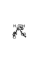 CC(O)Cc1ccccc1C(CCSCOC(=O)CC1CC1)c1cccc(/C=C/c2ccc3ccc(Cl)cc3n2)c1